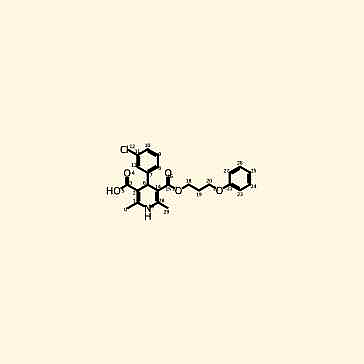 CC1=C(C(=O)O)C(c2cccc(Cl)c2)C(C(=O)OCCCOc2ccccc2)=C(C)N1